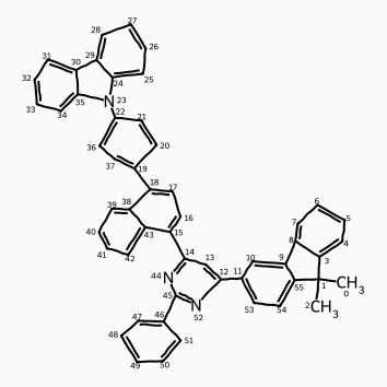 CC1(C)c2ccccc2-c2cc(-c3cc(-c4ccc(-c5ccc(-n6c7ccccc7c7ccccc76)cc5)c5ccccc45)nc(-c4ccccc4)n3)ccc21